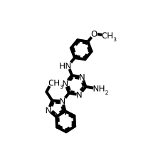 CCc1nc2ccccc2n1-c1nc(N)nc(Nc2ccc(OC)cc2)n1